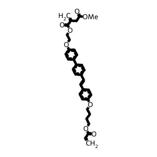 C=CC(=O)OCCCCOc1ccc(/C=C/c2ccc(-c3ccc(OCCOC(=O)C(=C)CC(=O)OC)cc3)cc2)cc1